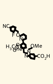 COCCn1c(Cc2ccc(-c3cccc(OCc4ccc(C#N)cc4F)n3)cc2NS(C)(=O)=O)nc2ccc(C(=O)O)cc21